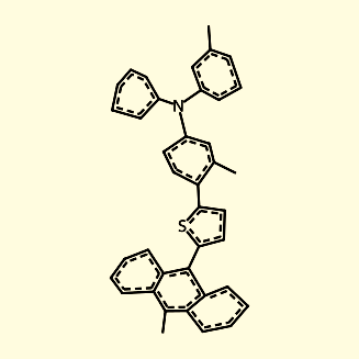 Cc1cccc(N(c2ccccc2)c2ccc(-c3ccc(-c4c5ccccc5c(C)c5ccccc45)s3)c(C)c2)c1